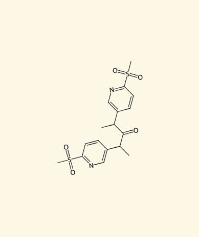 CC(C(=O)C(C)c1ccc(S(C)(=O)=O)nc1)c1ccc(S(C)(=O)=O)nc1